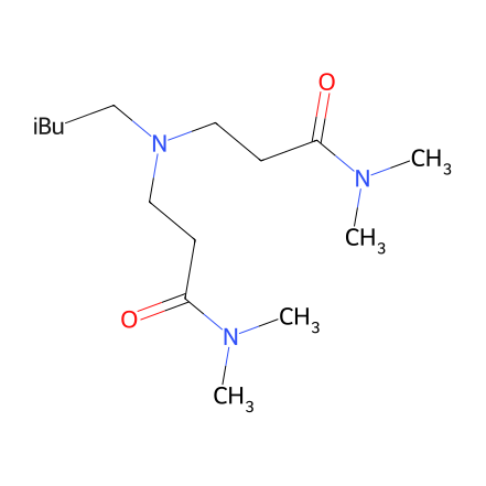 CCC(C)CN(CCC(=O)N(C)C)CCC(=O)N(C)C